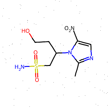 Cc1ncc([N+](=O)[O-])n1C(CCO)CS(N)(=O)=O